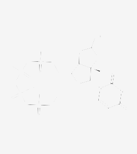 CCCCC1OC2[C@@H](COP(=O)(O)OP(=O)(O)OP(=O)(O)OP(=O)(O)OCC)O[C@@H](n3ccc(=O)[nH]c3=O)[C@H]2O1